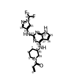 C=CC(=O)N1CCC[C@@H](Nc2nc(Nc3cnn(C(F)F)c3)nc3[nH]ccc23)C1